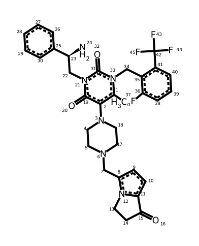 Cc1c(N2CCN(Cc3ccc4n3CCC4=O)CC2)c(=O)n(C[C@H](N)c2ccccc2)c(=O)n1Cc1c(F)cccc1C(F)(F)F